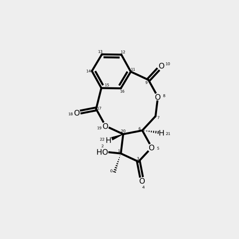 C[C@@]1(O)C(=O)O[C@@H]2COC(=O)c3cccc(c3)C(=O)O[C@H]21